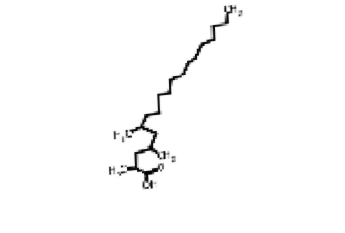 CCCCCCCCCCCCCC(C)CC(C)CC(C)C(=O)O